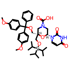 COc1ccc(C(OC[C@]2(CO[Si](C(C)C)(C(C)C)C(C)C)CN(C(=O)O)C[C@H](n3ccc(=O)[nH]c3=O)O2)(c2ccccc2)c2ccc(OC)cc2)cc1